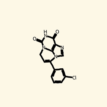 O=c1[nH]c(=O)n2c3c1ncn3C(c1cccc(Cl)c1)=CC2